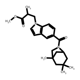 COC(=O)C(C)Cn1ccc2cc(C(=O)N3CC4(C)CC3CC(C)(C)C4)ccc21